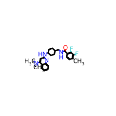 Cc1ccc(C(=O)NCC2CCC(Nc3cc(N(C)C)c4ccccc4n3)CC2)c(F)c1F